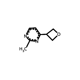 Cc1nccc(C2COC2)n1